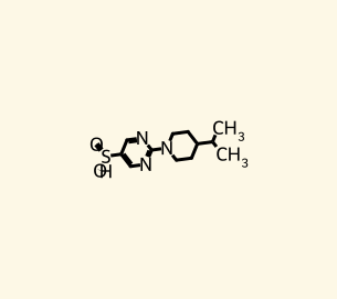 CC(C)C1CCN(c2ncc([SH](=O)=O)cn2)CC1